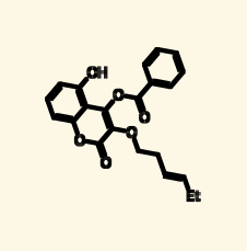 CC/C=C/CCOc1c(OC(=O)c2ccccc2)c2c(O)cccc2oc1=O